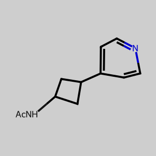 CC(=O)NC1CC(c2ccncc2)C1